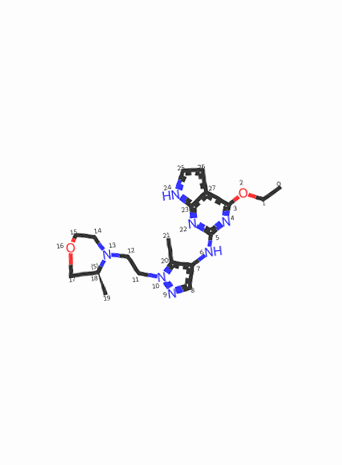 CCOc1nc(Nc2cnn(CCN3CCOC[C@@H]3C)c2C)nc2[nH]ccc12